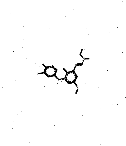 CCN(C)C=Nc1cc(OC)cc(Cc2ccc(F)c(F)c2)c1C